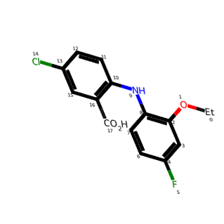 CCOc1cc(F)ccc1Nc1ccc(Cl)cc1C(=O)O